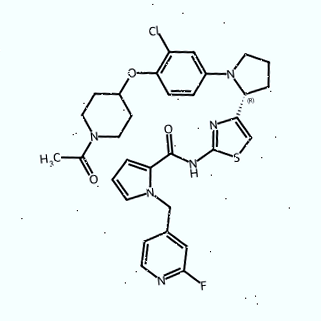 CC(=O)N1CCC(Oc2ccc(N3CCC[C@@H]3c3csc(NC(=O)c4cccn4Cc4ccnc(F)c4)n3)cc2Cl)CC1